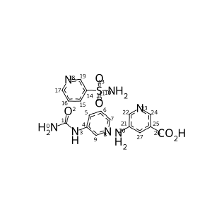 NC(=O)Nc1cccnc1.NS(=O)(=O)c1cccnc1.Nc1cncc(C(=O)O)c1